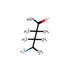 CNC(=O)C(C)(C)C(C)(C)C(C)N